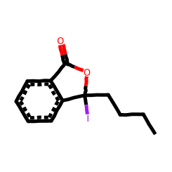 CCCCC1(I)OC(=O)c2ccccc21